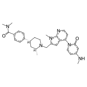 CNc1ccn(-c2ccnc3c2cc(CN2CC[C@@H](c4ccc(C(=O)N(C)C)cc4)C[C@H]2C)n3C)c(=O)c1